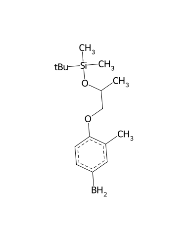 Bc1ccc(OCC(C)O[Si](C)(C)C(C)(C)C)c(C)c1